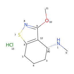 CN[C@@H]1CCCc2snc(OC)c21.Cl